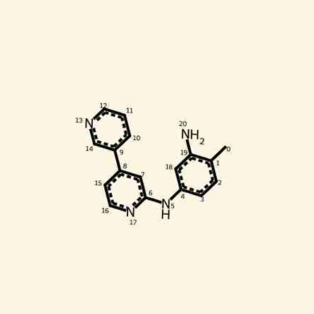 Cc1ccc(Nc2cc(-c3cccnc3)ccn2)cc1N